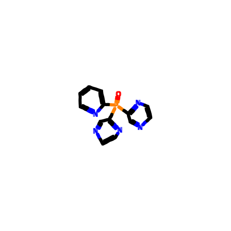 O=P(c1ccccn1)(c1cnccn1)c1cnccn1